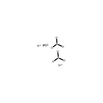 O.[O-]B([O-])[O-].[O-]B([O-])[O-].[Sr+2].[Sr+2].[Sr+2]